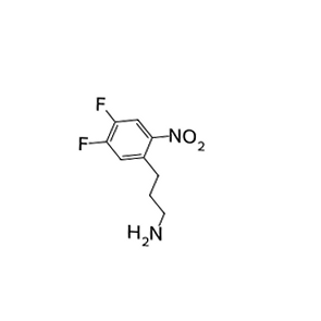 NCCCc1cc(F)c(F)cc1[N+](=O)[O-]